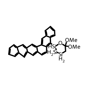 COC1(OC)C[SiH2][SiH2][SiH](c2c3ccccc3cc3c2ccc2cc4cc5ccccc5cc4cc23)O1